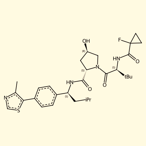 Cc1ncsc1-c1ccc([C@H](CC(C)C)NC(=O)[C@@H]2C[C@@H](O)CN2C(=O)[C@@H](NC(=O)C2(F)CC2)C(C)(C)C)cc1